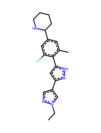 CCn1cc(-c2cc(-c3c(C)cc(C4CCCCN4)cc3F)[nH]n2)cn1